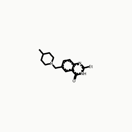 CCc1nc2ccc(CN3CCC(C)CC3)cc2c(=O)[nH]1